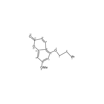 COc1cc(OCCC(C)C)c2ccc(=O)oc2c1